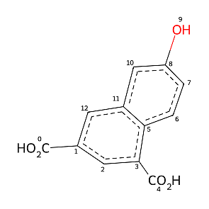 O=C(O)c1cc(C(=O)O)c2ccc(O)cc2c1